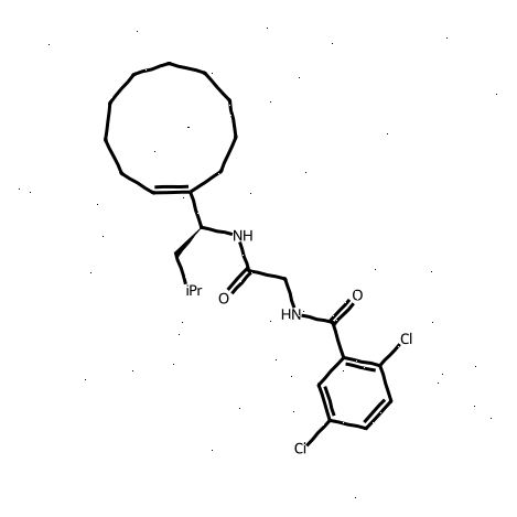 CC(C)C[C@H](NC(=O)CNC(=O)c1cc(Cl)ccc1Cl)/C1=C/CCCCCCCCC1